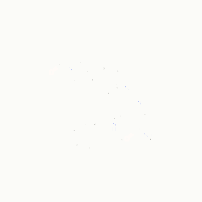 CC(=O)N1CC(c2ccc(Nc3cc(NCc4ccccc4)c(C(N)=O)cn3)cc2)C1